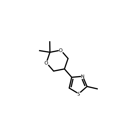 Cc1nc(C2COC(C)(C)OC2)cs1